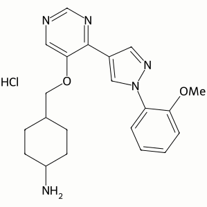 COc1ccccc1-n1cc(-c2ncncc2OCC2CCC(N)CC2)cn1.Cl